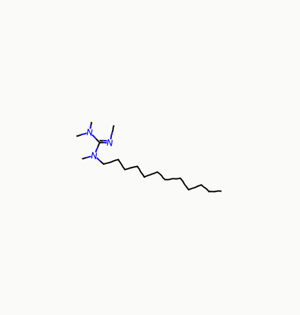 CCCCCCCCCCCCN(C)C(=NC)N(C)C